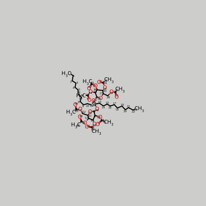 CCCCCCCCCCCC[Si](CCCCCCCCCCC)(OC1OC(COC(C)=O)C(OC(C)=O)C(OC(C)=O)C1OC(C)=O)OC1OC(COC(C)=O)C(OC(C)=O)C(OC(C)=O)C1OC(C)=O